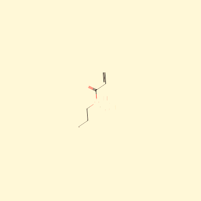 C=CC(=O)OCCC.O.P